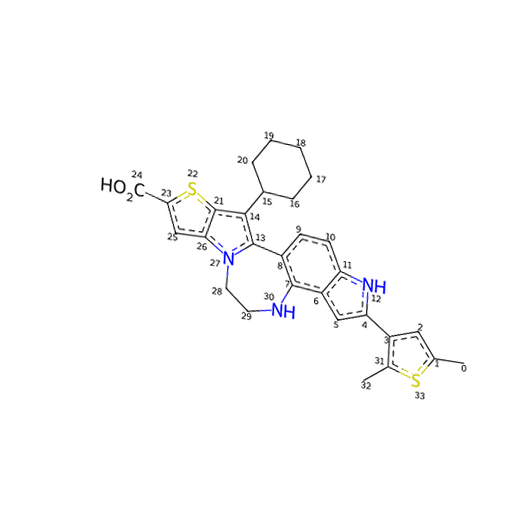 Cc1cc(-c2cc3c4c(ccc3[nH]2)-c2c(C3CCCCC3)c3sc(C(=O)O)cc3n2CCN4)c(C)s1